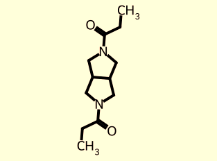 CCC(=O)N1CC2CN(C(=O)CC)CC2C1